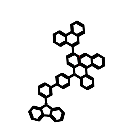 c1cc(-c2ccc(N(c3ccc(-c4cc5ccccc5c5ccccc45)cc3)c3ccccc3-c3cccc4ccccc34)cc2)cc(-n2c3ccccc3c3ccccc32)c1